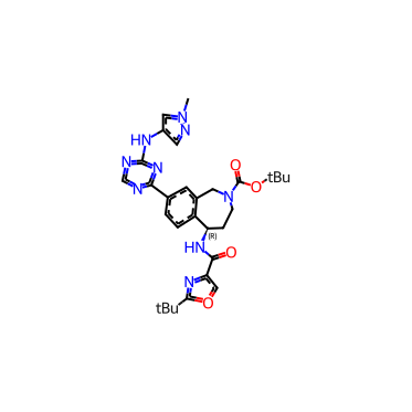 Cn1cc(Nc2ncnc(-c3ccc4c(c3)CN(C(=O)OC(C)(C)C)CC[C@H]4NC(=O)c3coc(C(C)(C)C)n3)n2)cn1